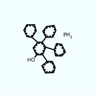 Oc1cc(-c2ccccc2)c(-c2ccccc2)c(-c2ccccc2)c1-c1ccccc1.P